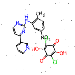 Cc1ccc([N+](=O)[O-])cc1Nc1nccc(-c2cccnc2)n1.O=C1C(O)=C(Cl)C(=O)C(O)=C1Cl